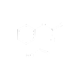 OC=S.S=C(Cl)Oc1ccccc1